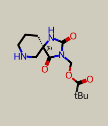 CC(C)(C)C(=O)OCN1C(=O)N[C@@]2(CCCNC2)C1=O